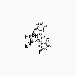 CB(O)N1C(CN=[N+]=[N-])C(c2cc(F)ccc2F)=CC1c1ccccc1